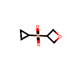 O=S(=O)(C1[CH]OC1)C1CC1